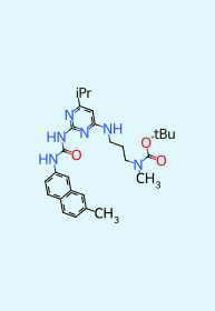 Cc1ccc2ccc(NC(=O)Nc3nc(NCCCN(C)C(=O)OC(C)(C)C)cc(C(C)C)n3)cc2c1